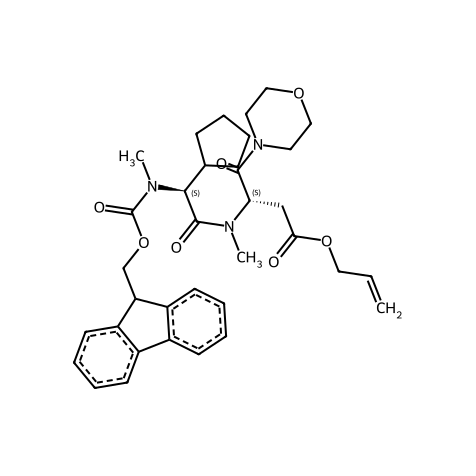 C=CCOC(=O)C[C@@H](C(=O)N1CCOCC1)N(C)C(=O)[C@H](C1CCCC1)N(C)C(=O)OCC1c2ccccc2-c2ccccc21